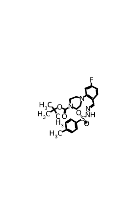 Cc1ccc(S(=O)(=O)N/N=C/c2ccc(F)cc2N2CCN(C(=O)OC(C)(C)C)CC2)cc1